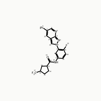 CC(C)c1cnc2nn(-c3cc(NC(=O)C4CCC(C(F)(F)F)C4)ccc3F)cc2c1